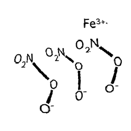 O=[N+]([O-])O[O-].O=[N+]([O-])O[O-].O=[N+]([O-])O[O-].[Fe+3]